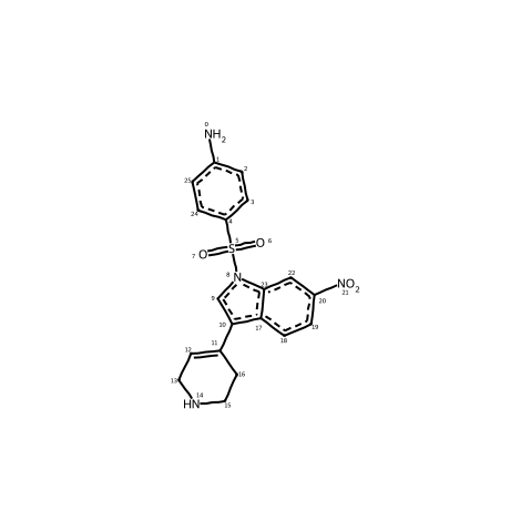 Nc1ccc(S(=O)(=O)n2cc(C3=CCNCC3)c3ccc([N+](=O)[O-])cc32)cc1